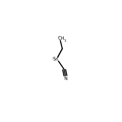 C[CH2][Sn][C]#N